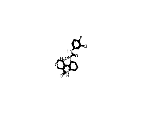 CN(C(=O)Nc1ccc(F)c(Cl)c1)[C@@H]1CCCc2[nH]c(=O)c3c(c21)CCOC3